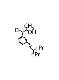 CCCC(CCC)CSc1cccc(C(Cl)C(C)O)c1